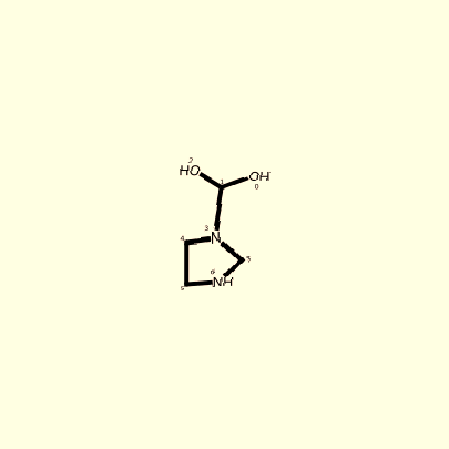 OC(O)N1CCNC1